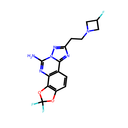 Nc1nc2c3c(ccc2c2nc(CCN4CC(F)C4)nn12)OC(F)(F)O3